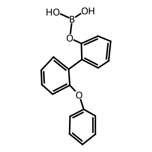 OB(O)Oc1ccccc1-c1ccccc1Oc1ccccc1